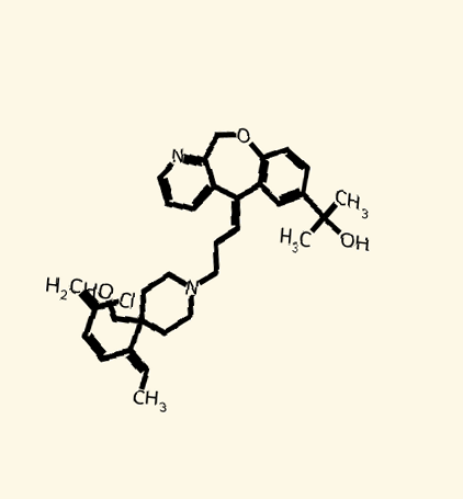 C=C(Cl)/C=C\C(=C/C)C1(CO)CCN(CC/C=C2/c3cc(C(C)(C)O)ccc3OCc3ncccc32)CC1